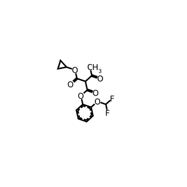 CC(=O)C(C(=O)Oc1ccccc1OC(F)F)C(=O)OC1CC1